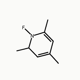 CC1=CC(C)N(F)C(C)=C1